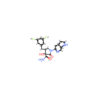 NC(=O)C1(O)C(=O)N(c2cc3cc[nH]c3cn2)CC1Cc1cc(F)cc(F)c1